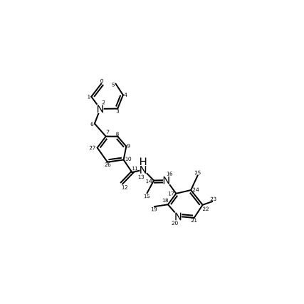 C=CN(/C=C\C)Cc1ccc(C(=C)N/C(C)=N/c2c(C)ncc(C)c2C)cc1